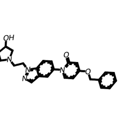 O=c1cc(OCc2ccccc2)ccn1-c1ccc2c(cnn2CCN2CCC(O)C2)c1